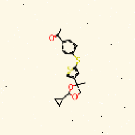 CC(=O)c1ccc(Sc2cc(C3(C)COC(C4CC4)O3)cs2)cc1